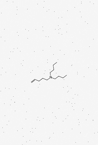 C=CCCCN(CCCC)CCCC